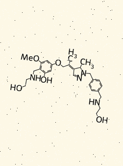 COc1cc(OC/C(C)=C2\C=NN(Cc3ccc(CNCCO)cc3)C2C)cc(O)c1CNCCO